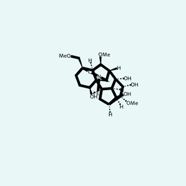 CCN1C[C@]2(COC)CC[C@H](O)[C@]34C1[C@H]([C@H](OC)[C@H]23)[C@]1(O)[C@H]2[C@@H](O)[C@H](C[C@H]24)[C@@H](OC)[C@H]1O